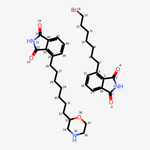 O=C1NC(=O)c2c(CCCCCCCBr)cccc21.O=C1NC(=O)c2c(CCCCCCCC3CNCCO3)cccc21